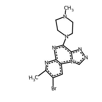 Cc1nc2nc(N3CCN(C)CC3)c3nncn3c2cc1Br